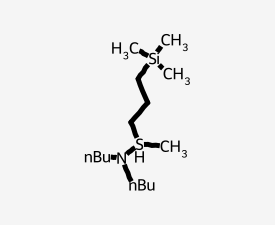 CCCCN(CCCC)[SH](C)CCC[Si](C)(C)C